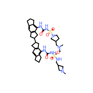 CN(C)CC1CCN(S(=O)(=O)NC(=O)Nc2c3c(cc4c2CC(C2Cc5cc6c(c(NC(=O)NS(=O)(=O)NCC7CN(C)C7)c5C2)CCC6)C4)CCC3)C1